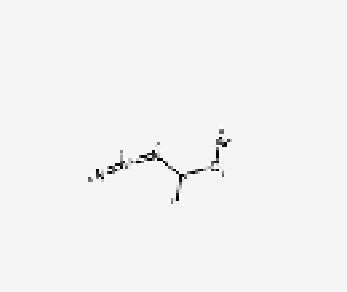 CC(=O)OC(C)N=[N+]=[N-]